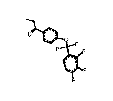 CCC(=O)c1ccc(OC(F)(F)c2ccc(F)c(F)c2F)cc1